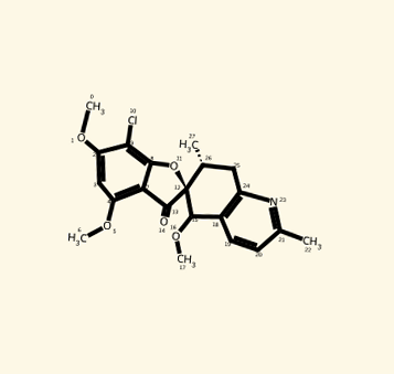 COc1cc(OC)c2c(c1Cl)O[C@]1(C2=O)C(OC)c2ccc(C)nc2C[C@H]1C